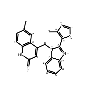 Cc1ccc2[nH]c(=O)cc(Cn3c(-c4scnc4C)nc4ccccc43)c2c1